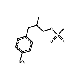 CC(COS(C)(=O)=O)Cc1ccc([N+](=O)[O-])cc1